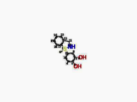 CS1(c2ccc(O)c(O)c2)NCc2ccccc21